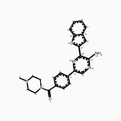 CN1CCN(C(=O)c2ccc(-c3cnc(N)c(-c4cc5ccccc5o4)n3)cc2)CC1